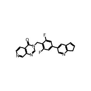 O=c1c2ccncc2ncn1Cc1c(F)cc(-c2cnc3c(c2)C=CC3)cc1F